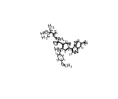 COC1CCC(Nc2cc(-c3cnc4cc(C#N)cnn34)ncc2C(=O)NC[C@@H](F)C(C)(C)O)CC1